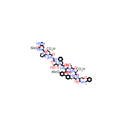 CCc1cc(OC)ccc1-c1ccc(C[C@H](NC(=O)[C@H](CC(=O)O)NC(=O)[C@H](CO)NC(=O)[C@@H](NC(=O)[C@](C)(Cc2ccccc2F)NC(=O)[C@@H](NC(=O)CNC(=O)[C@H](CCC(=O)O)NC(=O)[C@]2(C)CCCN2C(=O)[C@H](Cc2c[nH]cn2)NC(=O)OC)[C@@H](C)O)[C@@H](C)O)C(=O)N[C@@H](CCOc2ccccc2C)C(N)=O)cc1